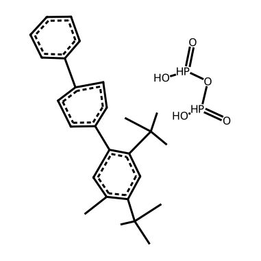 Cc1cc(-c2ccc(-c3ccccc3)cc2)c(C(C)(C)C)cc1C(C)(C)C.O=[PH](O)O[PH](=O)O